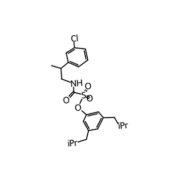 CC(C)Cc1cc(CC(C)C)cc(OS(=O)(=O)C(=O)NCC(C)c2cccc(Cl)c2)c1